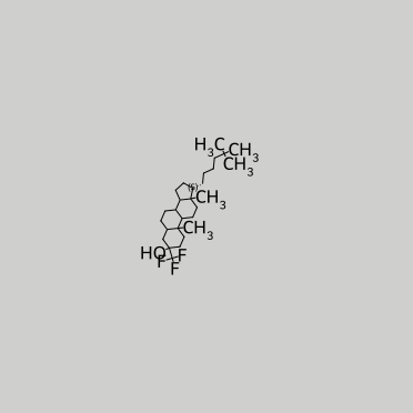 CC(C)(C)CCCC[C@H]1CCC2C3CCC4CC(O)(C(F)(F)F)CCC4(C)C3CCC21C